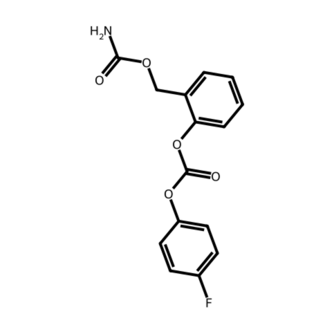 NC(=O)OCc1ccccc1OC(=O)Oc1ccc(F)cc1